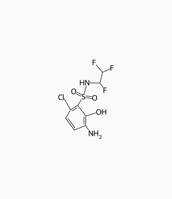 Nc1ccc(Cl)c(S(=O)(=O)NC(F)C(F)F)c1O